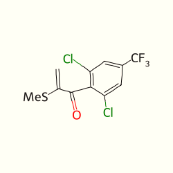 C=C(SC)C(=O)c1c(Cl)cc(C(F)(F)F)cc1Cl